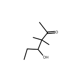 CCC(O)C(C)(C)C(C)=O